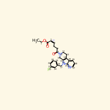 CCOC(=O)/C=C\CCC(=O)N1CCc2c(n(Cc3cccc(F)c3)c3ncccc23)C1